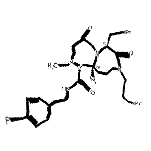 CC(C)CCN1C[C@H]2N(C(=O)CN(C)N2C(=O)NCc2ccc(F)cc2)[C@@H](CC(C)C)C1=O